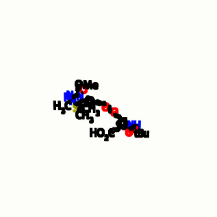 COC(=O)C[C@@H]1N=C(c2ccc(C#CCOCCOCCc3cc(CCC(=O)O)cc(NC(=O)OC(C)(C)C)c3)cc2)c2c(sc(C)c2C)-n2c(C)nnc21